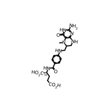 CN1c2c(nc(N)[nH]c2=O)NCC1CNc1ccc(C(=O)N[C@@H](CCC(=O)O)C(=O)O)cc1